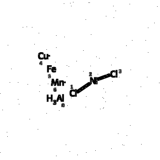 [AlH3].[Cl][Ni][Cl].[Cu].[Fe].[Mn]